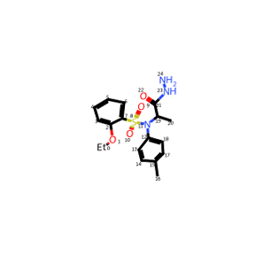 CCOc1ccccc1S(=O)(=O)N(c1ccc(C)cc1)C(C)C(=O)NN